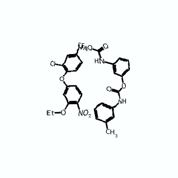 CCOc1cc(Oc2ccc(C(F)(F)F)cc2Cl)ccc1[N+](=O)[O-].COC(=O)Nc1cccc(OC(=O)Nc2cccc(C)c2)c1